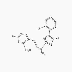 CN(N=Cc1ccc(F)cc1C(=O)O)c1nc(-c2ccccc2Cl)c(F)s1